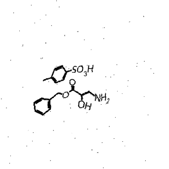 Cc1ccc(S(=O)(=O)O)cc1.NCC(O)C(=O)OCc1ccccc1